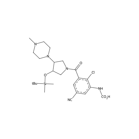 CN1CCN(C2CN(C(=O)c3cc(C#N)cc(NC(=O)O)c3Cl)CC2O[Si](C)(C)C(C)(C)C)CC1